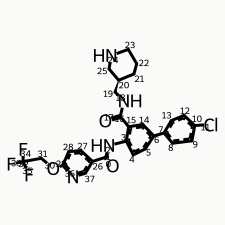 O=C(Nc1ccc(-c2ccc(Cl)cc2)cc1C(=O)NC[C@@H]1CCCNC1)c1ccc(OCC(F)(F)F)nc1